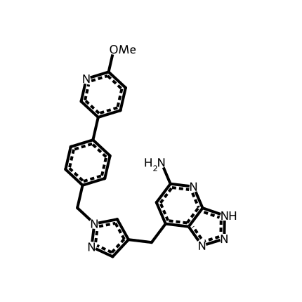 COc1ccc(-c2ccc(Cn3cc(Cc4cc(N)nc5[nH]nnc45)cn3)cc2)cn1